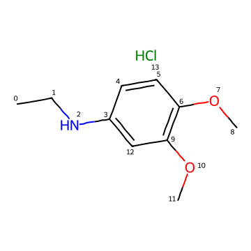 CCNc1ccc(OC)c(OC)c1.Cl